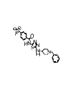 O=C(Nc1nnc(NC2CCN(Cc3ccccc3)CC2)s1)c1ccc(S(=O)(=O)F)cc1